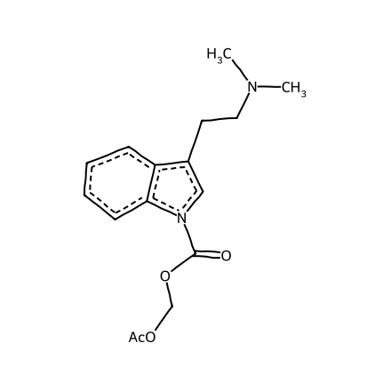 CC(=O)OCOC(=O)n1cc(CCN(C)C)c2ccccc21